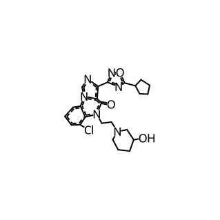 O=c1c2c(-c3noc(C4CCCC4)n3)ncn2c2cccc(Cl)c2n1CCN1CCCC(O)C1